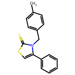 Cc1ccc(Cn2c(-c3ccccc3)csc2=S)cc1